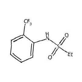 CCS(=O)(=O)Nc1ccccc1C(F)(F)F